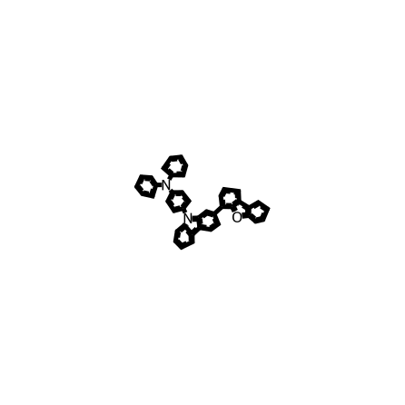 c1ccc(N(c2ccccc2)c2ccc(-n3c4ccccc4c4ccc(-c5cccc6c5oc5ccccc56)cc43)cc2)cc1